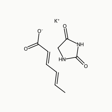 CC=CC=CC(=O)[O-].O=C1CNC(=O)N1.[K+]